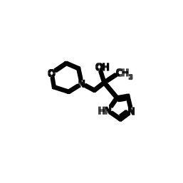 CC(O)(CN1CCOCC1)c1cnc[nH]1